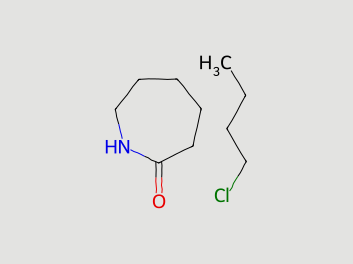 CCCCCl.O=C1CCCCCN1